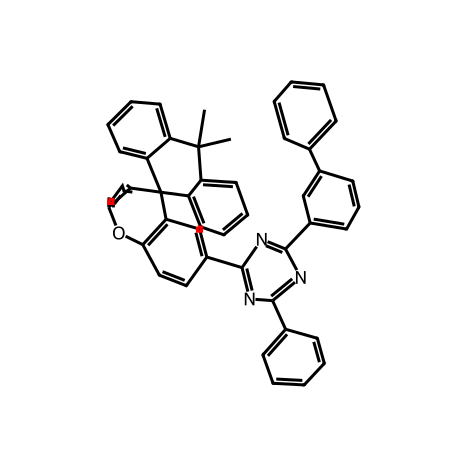 CC1(C)c2ccccc2C2(c3ccccc3Oc3ccc(-c4nc(-c5ccccc5)nc(-c5cccc(-c6ccccc6)c5)n4)cc32)c2ccccc21